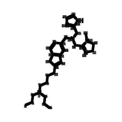 CCCN(CCC)CCCCC1=Cc2cc(CN(CC3=NCCN3C)Cc3ncc[nH]3)ccc2C1